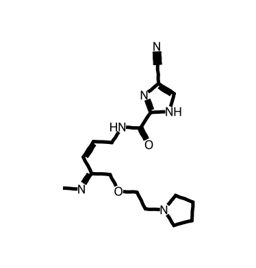 C/N=C(\C=C/CNC(=O)c1nc(C#N)c[nH]1)COCCN1CCCC1